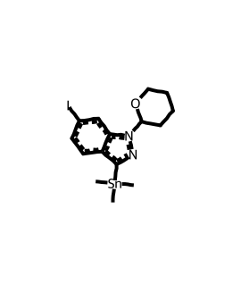 [CH3][Sn]([CH3])([CH3])[c]1nn(C2CCCCO2)c2cc(I)ccc12